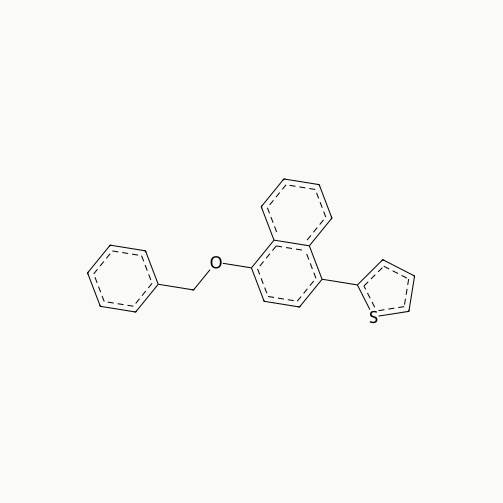 c1ccc(COc2ccc(-c3cccs3)c3ccccc23)cc1